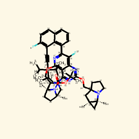 CC(C)[Si](C#Cc1c(F)ccc2cccc(-c3nc4c5c(nc(OCC67CCCN6[C@H]6C[C@H]6C7)nc5c3F)N3C[C@H]5CC[C@@H]([C@H]3[C@H](C)O4)N5C(=O)OC(C)(C)C)c12)(C(C)C)C(C)C